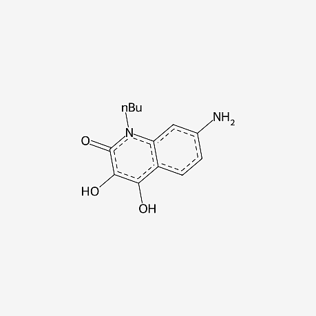 CCCCn1c(=O)c(O)c(O)c2ccc(N)cc21